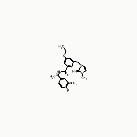 CCOc1cc(Cn2ccn(C)c2=N)cc(C(=O)N[C@@H](C)c2ccc(F)c(C)c2)c1